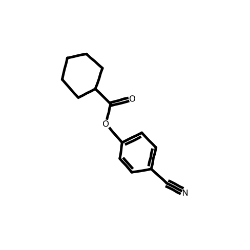 N#Cc1ccc(OC(=O)C2CCCCC2)cc1